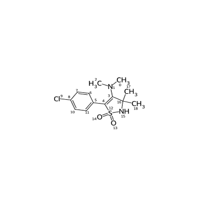 CN(C)C1=C(c2ccc(Cl)cc2)S(=O)(=O)NC1(C)C